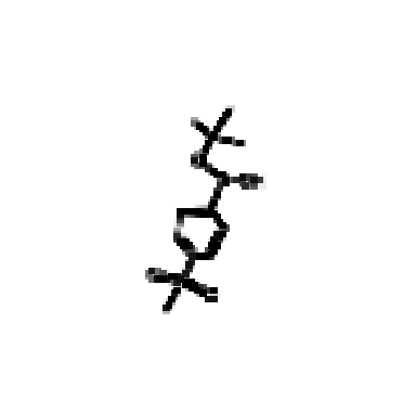 CC(C)(C)OB(O)c1ccc(S(C)(=O)=O)cc1